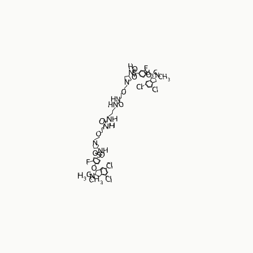 CN(C)[C@H]1Cc2c(Cl)cc(Cl)cc2[C@@H]1Oc1ccc(S(=O)(=O)N[C@@H]2CCN(CCOCCNC(=O)NCCCCNC(=O)NCCOCCN3CC[C@@H](NS(=O)(=O)c4ccc(O[C@H]5c6cc(Cl)cc(Cl)c6C[C@@H]5N(C)C)c(F)c4)C3)C2)cc1F